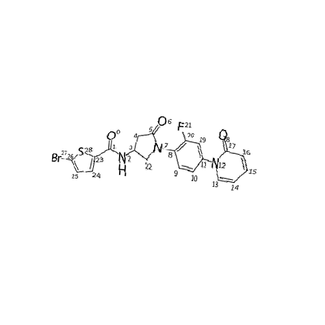 O=C(NC1CC(=O)N(c2ccc(-n3ccccc3=O)cc2F)C1)c1ccc(Br)s1